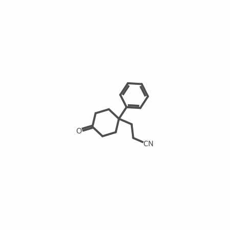 N#CCCC1(c2ccccc2)CCC(=O)CC1